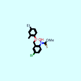 CCc1ccc(OCc2cc(Br)ccc2N(O)C(=S)OC)c(C)c1